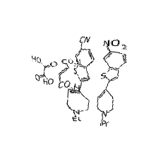 CC(C)N1CC=C(c2cc3ccc([N+](=O)[O-])cc3s2)CC1.CCN1CC=C(c2cc3ccc(C#N)cc3s2)CC1.O=C(O)C(=O)O.O=C(O)C=CC(=O)O